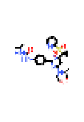 CC(C)NC(=O)Nc1ccc(-c2nc(N3CCOC[C@@H]3C)cc(C3(S(=O)(=O)c4ccccn4)CC3)n2)cc1